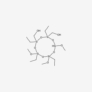 CC[Si]1(CO)O[SiH](OC)O[Si](CC)(OC)O[Si](CC)(OC)O[Si](CC)(CO)O1